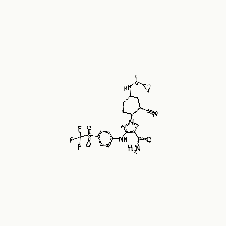 C[C@@H](NC1CCC(n2cc(C(N)=O)c(Nc3ccc(S(=O)(=O)C(F)(F)F)cc3)n2)C(C#N)C1)C1CC1